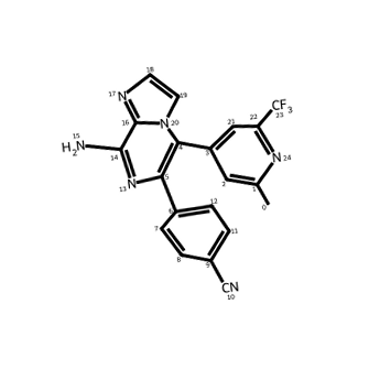 Cc1cc(-c2c(-c3ccc(C#N)cc3)nc(N)c3nccn23)cc(C(F)(F)F)n1